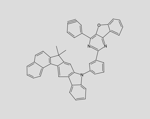 CC1(C)c2cc3c(cc2-c2c1ccc1ccccc21)c1ccccc1n3-c1cccc(-c2nc(-c3cc#ccc3)c3oc4ccccc4c3n2)c1